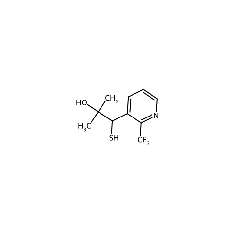 CC(C)(O)C(S)c1cccnc1C(F)(F)F